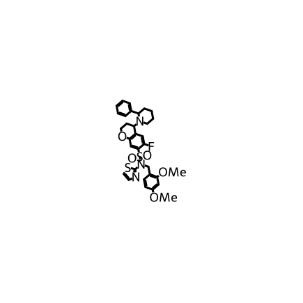 COc1ccc(CN(c2nccs2)S(=O)(=O)c2cc3c(cc2F)C(N2CCCCC2c2ccccc2)CCO3)c(OC)c1